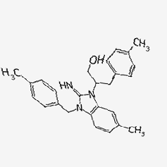 Cc1ccc(CC(CO)n2c(=N)n(Cc3ccc(C)cc3)c3ccc(C)cc32)cc1